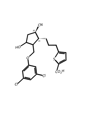 N#C[C@@H]1CC(O)C(COc2cc(Cl)cc(Cl)c2)[C@H]1CCCc1ccc(C(=O)O)s1